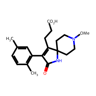 CON1CCC2(CC1)NC(=O)C(c1cc(C)ccc1C)=C2CCC(=O)O